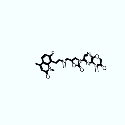 Cc1cc(=O)n(C)c2c(CCNCC3CN(c4cnc5c(n4)NC(=O)CO5)C(=O)O3)c(F)ccc12